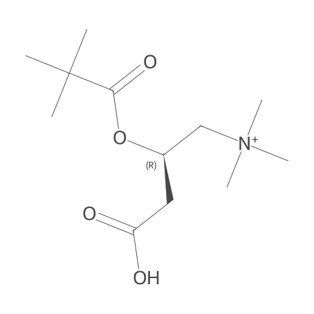 CC(C)(C)C(=O)O[C@H](CC(=O)O)C[N+](C)(C)C